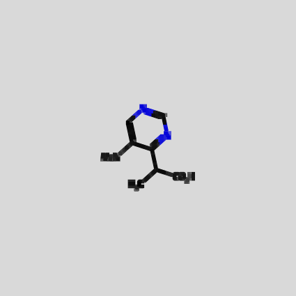 CNc1cn[c]nc1C(C)C(=O)O